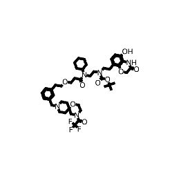 CC(C)(C)OC(=O)N(CCc1ccc(O)c2c1OCC(=O)N2)CCN(C(=O)CCOCCc1cccc(CN2CCC3(CC2)CN(C(=O)C(F)(F)F)CCO3)c1)C1CCCCC1